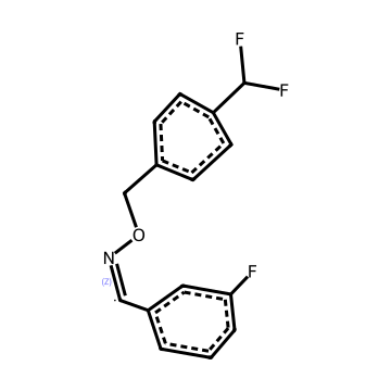 Fc1cccc(/[C]=N\OCc2ccc(C(F)F)cc2)c1